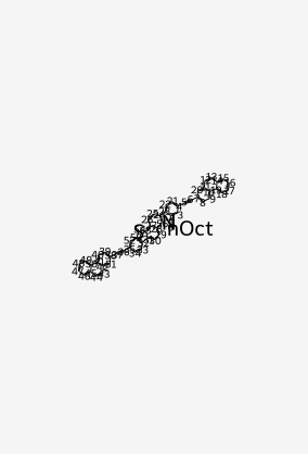 CCCCCCCCn1c2cc(C#Cc3ccc4c(ccc5ccccc54)c3)ccc2c2ccc3c(ccc4c5ccc(C#Cc6ccc7c(ccc8ccccc87)c6)cc5sc43)c21